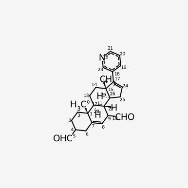 C[C@]12CCC(C=O)CC1=CC(C=O)[C@@H]1[C@@H]2CC[C@]2(C)C(c3cccnc3)=CC[C@@H]12